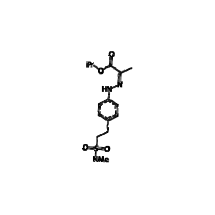 CNS(=O)(=O)CCc1ccc(NN=C(C)C(=O)OC(C)C)cc1